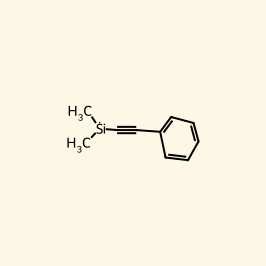 C[Si](C)C#Cc1ccccc1